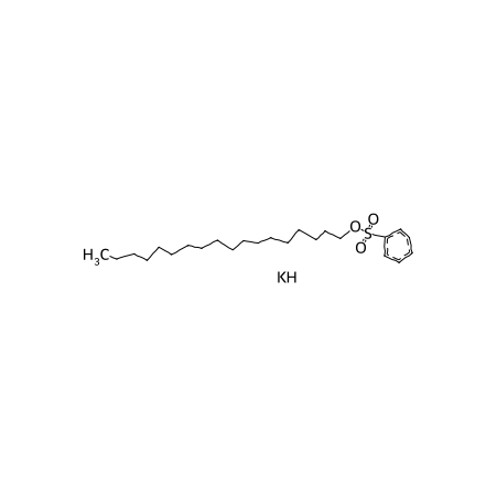 CCCCCCCCCCCCCCCCCCOS(=O)(=O)c1ccccc1.[KH]